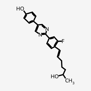 CC(O)CCC/C=C/c1ccc(-c2ncc(-c3ccc(O)cc3)cn2)cc1F